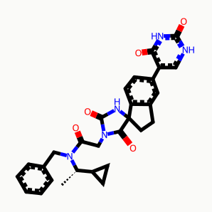 C[C@@H](C1CC1)N(Cc1ccccc1)C(=O)CN1C(=O)NC2(CCc3cc(-c4c[nH]c(=O)[nH]c4=O)ccc32)C1=O